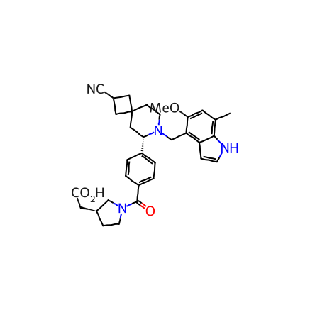 COc1cc(C)c2[nH]ccc2c1CN1CCC2(CC(C#N)C2)C[C@H]1c1ccc(C(=O)N2CC[C@@H](CC(=O)O)C2)cc1